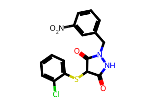 O=C1NN(Cc2cccc([N+](=O)[O-])c2)C(=O)C1Sc1ccccc1Cl